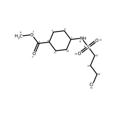 COC(=O)C1CCC(NS(=O)(=O)CCCCl)CC1